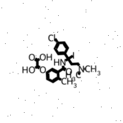 Cc1ccccc1C(=O)NC(I)(CCN(C)C)c1ccc(Cl)cc1.O=C(O)C(=O)O